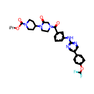 CC(C)OC(=O)N1CCC(N2CCN(C(=O)c3cccc(Nc4ncc(-c5ccc(OC(F)F)cc5)cn4)c3)CC2=O)CC1